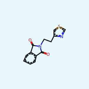 O=C1c2ccccc2C(=O)N1CCc1cscn1